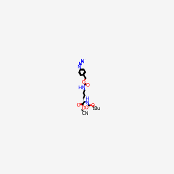 CC(C)(C)OC(=O)N[C@@H](CCCCNC(=O)OCc1ccc(N=[N+]=[N-])cc1)C(=O)OCC#N